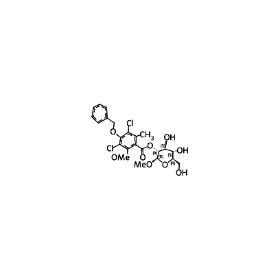 COc1c(Cl)c(OCc2ccccc2)c(Cl)c(C)c1C(=O)O[C@H]1[C@H](OC)O[C@H](CO)[C@@H](O)[C@@H]1O